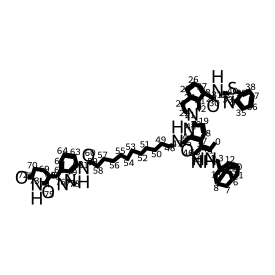 C/C(NCC12CC3CC(CC(C3)C1)C2)=C(/C=N)c1ccc(N2CCc3cccc(C(=O)Nc4nc5ccccc5s4)c3C2)nc1C(=O)NCCCCCCCCCCCC(=O)Nc1cccc2c(C3CCC(=O)NC3=O)nn(C)c12